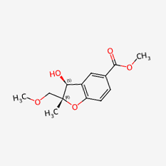 COC[C@@]1(C)Oc2ccc(C(=O)OC)cc2[C@@H]1O